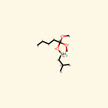 CCCCC(OC)(OC)O[SiH2]CC(C)C